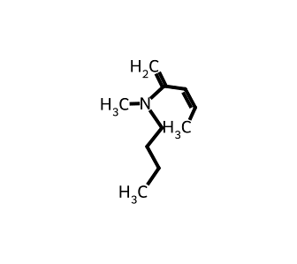 C=C(/C=C\C)N(C)CCCC